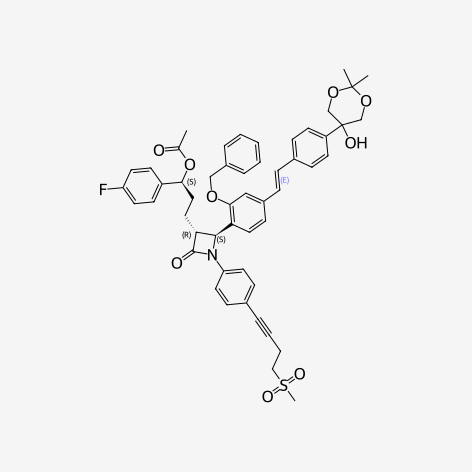 CC(=O)O[C@@H](CC[C@H]1C(=O)N(c2ccc(C#CCCS(C)(=O)=O)cc2)[C@@H]1c1ccc(/C=C/c2ccc(C3(O)COC(C)(C)OC3)cc2)cc1OCc1ccccc1)c1ccc(F)cc1